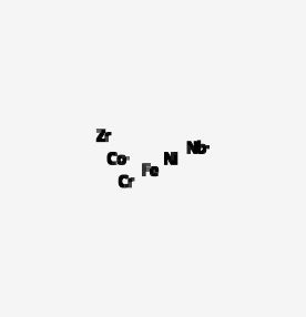 [Co].[Cr].[Fe].[Nb].[Ni].[Zr]